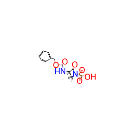 C[C@@H]1[C@H](NC(=O)OCc2ccccc2)C(=O)N1S(=O)(=O)O